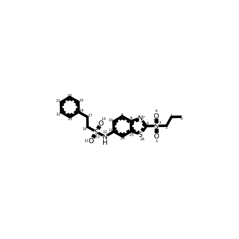 CCCS(=O)(=O)c1nc2ccc(NS(=O)(=O)CCc3ccccc3)cc2s1